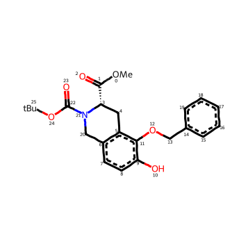 COC(=O)[C@@H]1Cc2c(ccc(O)c2OCc2ccccc2)CN1C(=O)OC(C)(C)C